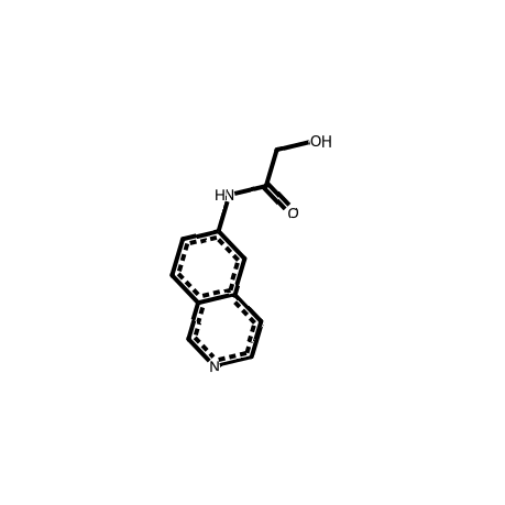 O=C(CO)Nc1ccc2cnccc2c1